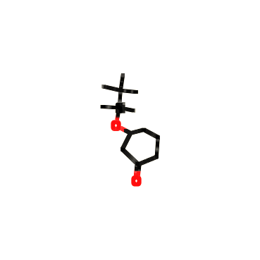 CC(C)(C)[Si](C)(C)OC1CCCC(=O)C1